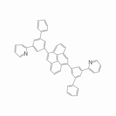 c1ccc(-c2cc(-c3ccccn3)cc(-c3cc4cccc5c(-c6cc(-c7ccccc7)cc(-c7ccccn7)c6)cc6cccc3c6c45)c2)cc1